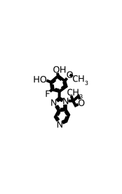 COc1cc(-c2nc3cnccc3n2C2(C)COC2)c(F)c(O)c1O